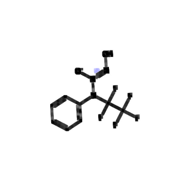 [O-]/[N+](=N\O)N(c1ccccc1)C(F)(F)C(F)(F)F